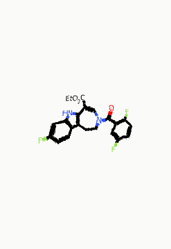 CCOC(=O)C1=CN(C(=O)c2cc(F)ccc2F)CCc2c1[nH]c1cc(F)ccc21